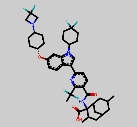 CC1CC2CC(C)C(NC(=O)c3ccc(-c4cn(C5CCC(F)(F)CC5)c5cc(O[C@H]6CC[C@H](N7CC(F)(F)C7)CC6)ccc45)nc3C(C)(F)F)(C(=O)O)C(C1)C2